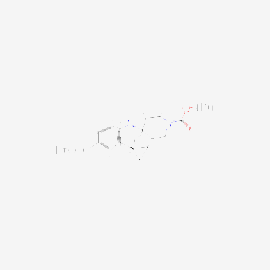 CCOC(=O)c1ccc(NC2(C)CCN(C(=O)OC(C)(C)C)CC2)c(C2CC2)c1